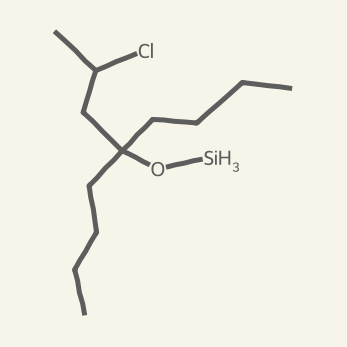 CCCCC(CCCC)(CC(C)Cl)O[SiH3]